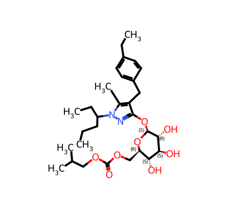 CCCC(CC)n1nc(O[C@@H]2O[C@H](COC(=O)OCC(C)C)[C@@H](O)[C@H](O)[C@H]2O)c(Cc2ccc(CC)cc2)c1C